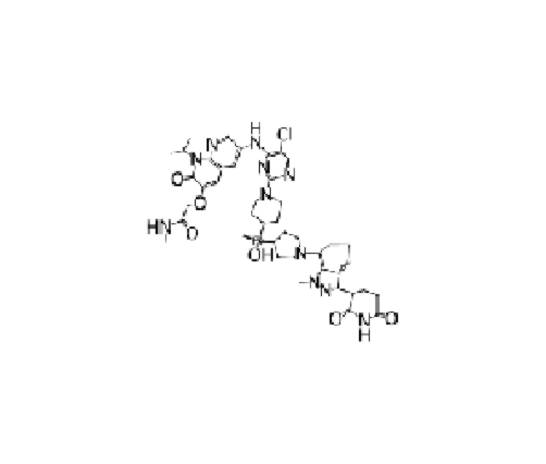 CNC(=O)COc1cc2cc(Nc3nc(N4CCC([C@@](C)(O)C5CCN(c6cccc7c(C8CCC(=O)NC8=O)nn(C)c67)CC5)CC4)ncc3Cl)cnc2n(C(C)C)c1=O